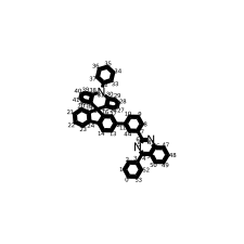 c1ccc(-c2nc(-c3cccc(-c4ccc5c(c4)C4(c6ccccc6-5)c5ccccc5N(c5ccccc5)c5ccccc54)c3)nc3ccccc23)cc1